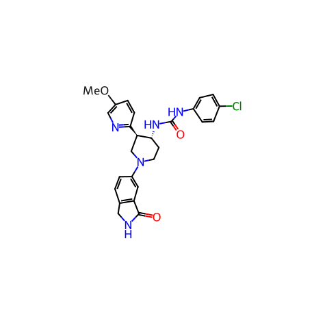 COc1ccc([C@@H]2CN(c3ccc4c(c3)C(=O)NC4)CC[C@H]2NC(=O)Nc2ccc(Cl)cc2)nc1